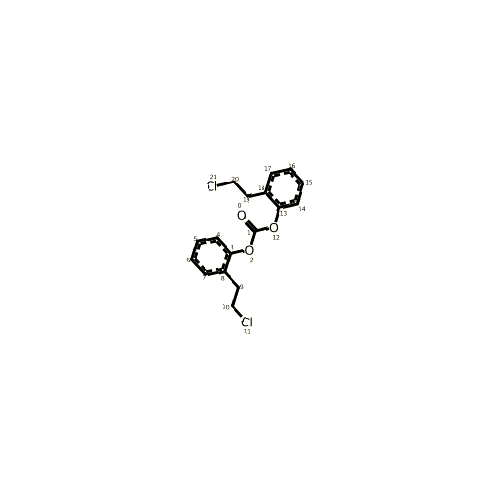 O=C(Oc1ccccc1CCCl)Oc1ccccc1CCCl